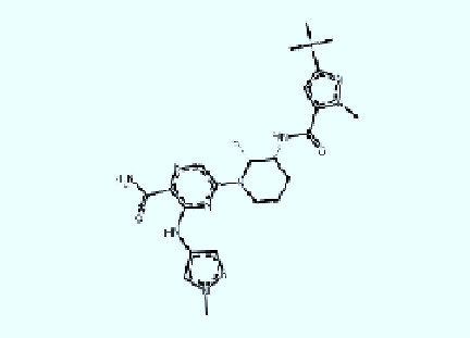 C[C@@H]1[C@H](NC(=O)c2cc(C(C)(C)C)nn2C)CCCN1c1cnc(C(N)=O)c(Nc2cnn(C)c2)n1